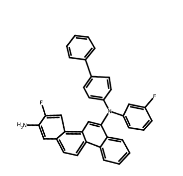 Nc1cc2ccc3c4ccccc4c(N(c4ccc(-c5ccccc5)cc4)c4cccc(F)c4)cc3c2cc1F